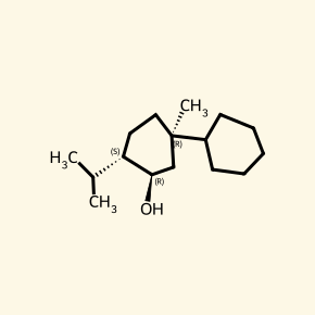 CC(C)[C@@H]1CC[C@@](C)(C2CCCCC2)C[C@H]1O